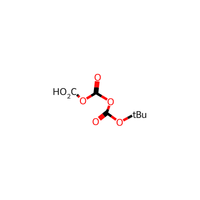 CC(C)(C)OC(=O)OC(=O)OC(=O)O